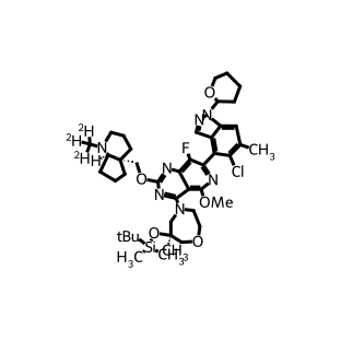 [2H]C([2H])([2H])N1CCC[C@@]2(COc3nc(N4CCOC[C@@](C)(O[Si](C)(C)C(C)(C)C)C4)c4c(OC)nc(-c5c(Cl)c(C)cc6c5cnn6C5CCCCO5)c(F)c4n3)CCC[C@@H]12